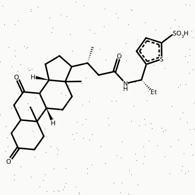 CC[C@H](NC(=O)C[C@@H](C)C1CC[C@H]2C3C(=O)CC4CC(=O)CCC4(C)[C@H]3CCC12C)c1ccc(S(=O)(=O)O)s1